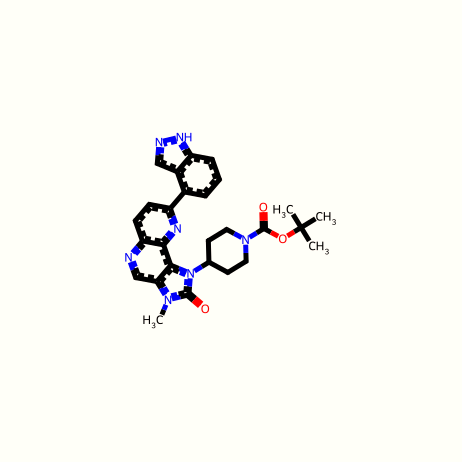 Cn1c(=O)n(C2CCN(C(=O)OC(C)(C)C)CC2)c2c3nc(-c4cccc5[nH]ncc45)ccc3ncc21